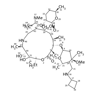 CC[C@H]1OC(=O)[C@H](C)[C@@H](O[C@H]2C[C@@](C)(OC)C(CNC3CCC3)[C@H](C)O2)[C@H](C)[C@@H](O[C@@H]2O[C@H](C)CC[C@H]2OC(NC)C(F)(F)F)[C@](C)(O)C[C@@H](C)CN[C@H](C)[C@@H](O)[C@]1(C)O